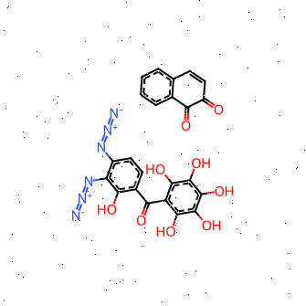 O=C1C=Cc2ccccc2C1=O.[N-]=[N+]=Nc1ccc(C(=O)c2c(O)c(O)c(O)c(O)c2O)c(O)c1N=[N+]=[N-]